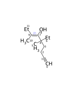 C#CCCC(C)(CC)/C(O)=C(\C)CC